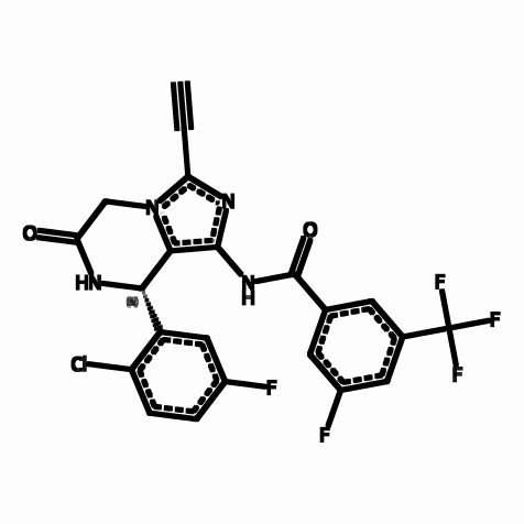 C#Cc1nc(NC(=O)c2cc(F)cc(C(F)(F)F)c2)c2n1CC(=O)N[C@H]2c1cc(F)ccc1Cl